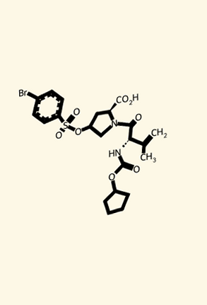 C=C(C)[C@H](NC(=O)OC1CCCC1)C(=O)N1CC(OS(=O)(=O)c2ccc(Br)cc2)C[C@H]1C(=O)O